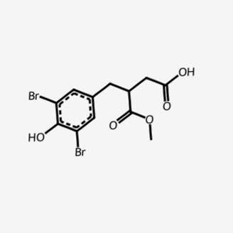 COC(=O)C(CC(=O)O)Cc1cc(Br)c(O)c(Br)c1